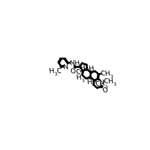 CC1=C2N(C)C(=O)CC[C@]2(C)[C@@H]2CC[C@]3(C)C(C(=O)Nc4cccc(C)n4)CC[C@H]3[C@@H]2C1